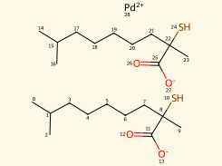 CC(C)CCCCCC(C)(S)C(=O)[O-].CC(C)CCCCCC(C)(S)C(=O)[O-].[Pd+2]